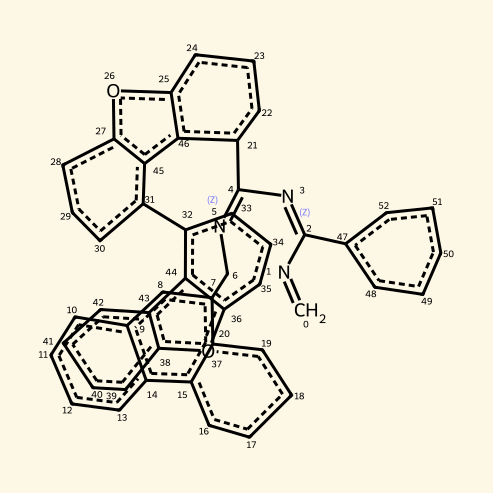 C=N/C(=N\C(=N/Cc1cc2ccccc2c2ccccc12)c1cccc2oc3cccc(-c4cccc5oc6ccccc6c45)c3c12)c1ccccc1